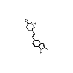 Cc1cc2cc(C=CC3=NNC(=O)CC3)ccc2[nH]1